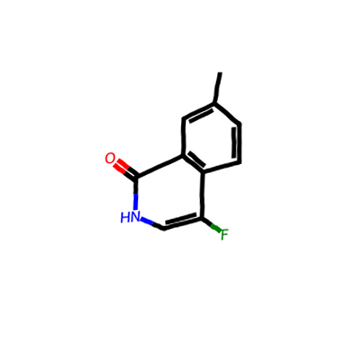 Cc1ccc2c(F)c[nH]c(=O)c2c1